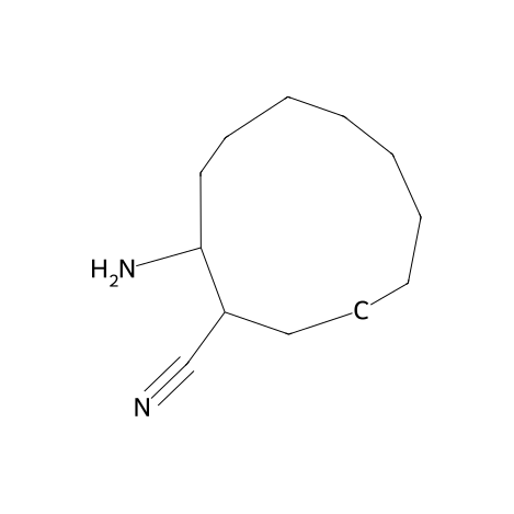 N#CC1CCCCCCCCCC1N